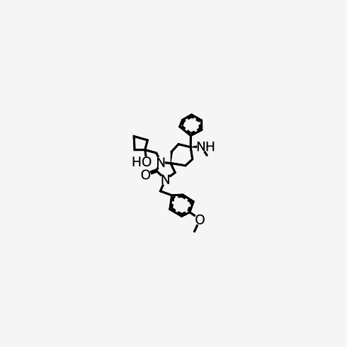 CN[C@]1(c2ccccc2)CC[C@@]2(CC1)CN(Cc1ccc(OC)cc1)C(=O)N2CC1(O)CCC1